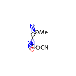 COc1cc(/C=C/c2nc3n(n2)CCO[C@@H]3c2ccc(C#N)cc2)ccc1-n1cnc(C)c1